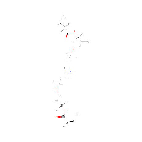 CC(CC(C)(C)C)C(=O)OC(C)(C)C(C)COC(C)(C)CC[N+](C)(C)CCC(C)(C)OCC(C)C(C)(C)OC(=O)C(C)(C)CC(C)(C)C